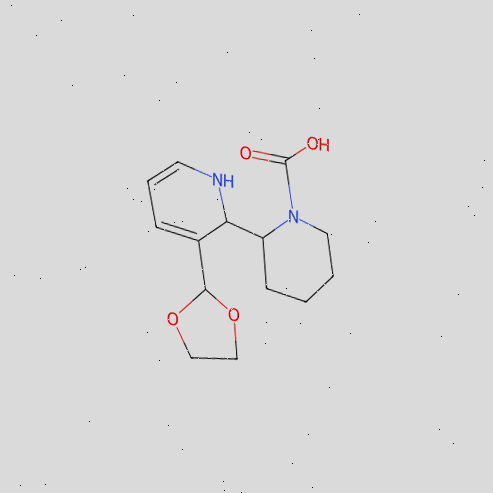 O=C(O)N1CCCCC1C1NC=CC=C1C1OCCO1